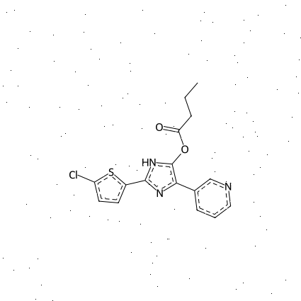 CCCC(=O)Oc1[nH]c(-c2ccc(Cl)s2)nc1-c1cccnc1